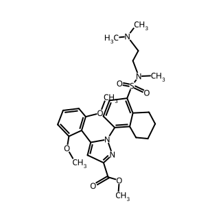 COC(=O)c1cc(-c2c(OC)cccc2OC)n(-c2ccc(S(=O)(=O)N(C)CCN(C)C)c3c2CCCC3)n1